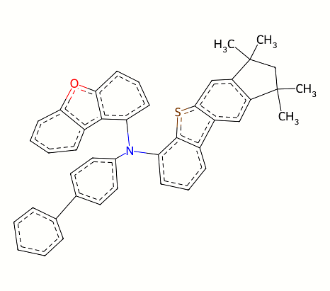 CC1(C)CC(C)(C)c2cc3c(cc21)sc1c(N(c2ccc(-c4ccccc4)cc2)c2cccc4oc5ccccc5c24)cccc13